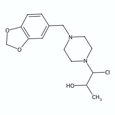 CC(O)C(Cl)N1CCN(Cc2ccc3c(c2)OCO3)CC1